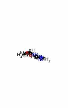 CCC(C)(C)COCC(C)(C)CC(=O)NCc1ccc(-c2nnc(C)nn2)cc1